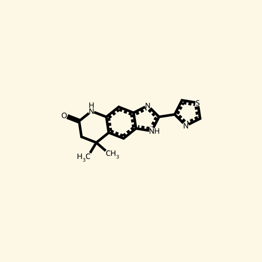 CC1(C)CC(=O)Nc2cc3nc(-c4cscn4)[nH]c3cc21